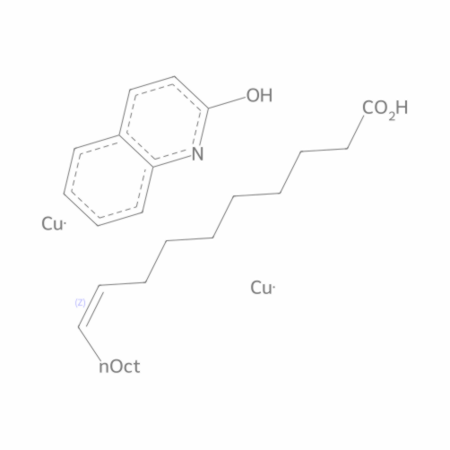 CCCCCCCC/C=C\CCCCCCCC(=O)O.Oc1ccc2ccccc2n1.[Cu].[Cu]